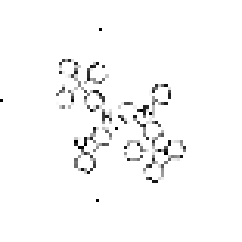 c1ccc(-n2c3ccc(N(c4ccc(C5(c6ccccc6)c6ccccc6-c6ccccc65)cc4)c4ccc5c(c4)oc4ccccc45)cc3c3cc(C4(c5ccccc5)c5ccccc5-c5ccccc54)ccc32)cc1